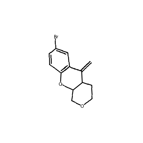 C=C1c2cc(Br)ccc2OC2COCCC12